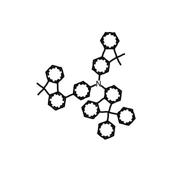 CC1(C)c2ccccc2-c2ccc(N(c3ccc(-c4cccc5c4-c4ccccc4C5(C)C)cc3)c3cccc4c3-c3ccccc3C4(c3ccccc3)c3ccccc3)cc21